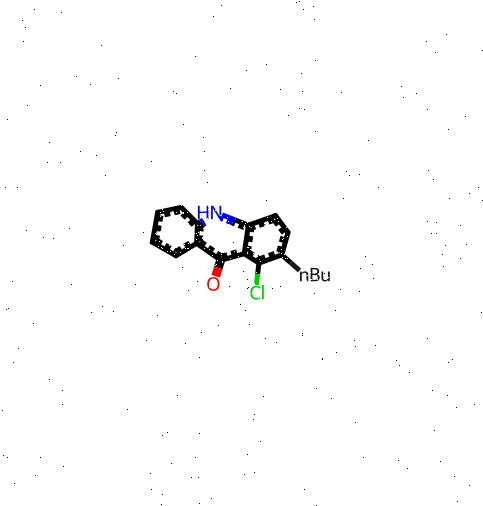 CCCCc1ccc2[nH]c3ccccc3c(=O)c2c1Cl